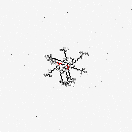 N=C(N)NCCCCCCNCC(=O)N(CCCCCCNC(=N)N)CC(=O)N(CCCCCCNC(=N)N)CC(=O)N(CCCCCCNC(=N)N)CC(=O)N(CCCCCCNC(=N)N)CC(=O)N(CCCCCCNC(=N)N)CC(=O)N(CCCCCCNC(=N)N)CC(=O)N(CCCCCCNC(=N)N)CC(=O)N(CCCCCCNC(=N)N)CC(N)=O